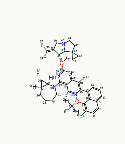 [2H]C([2H])(F)Oc1c(F)ccc2cccc(-c3ncc4c(N5CCCC[C@H]6[C@H](F)[C@H]65)nc(OC[C@]56CC(=C(F)F)CN5CCC65CC5)nc4c3F)c12